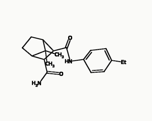 CCc1ccc(NC(=O)C2C(C(N)=O)C3CCC2C3(C)C)cc1